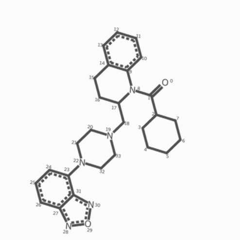 O=C(C1CCCCC1)N1c2ccccc2CCC1CN1CCN(c2cccc3nonc23)CC1